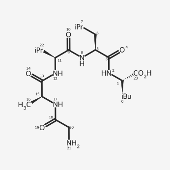 CC[C@H](C)[C@H](NC(=O)[C@H](CC(C)C)NC(=O)[C@@H](NC(=O)[C@H](C)NC(=O)CN)C(C)C)C(=O)O